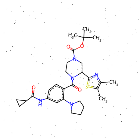 Cc1nc(C2CN(C(=O)OC(C)(C)C)CCN2C(=O)c2ccc(NC(=O)C3CC3)cc2N2CCCC2)sc1C